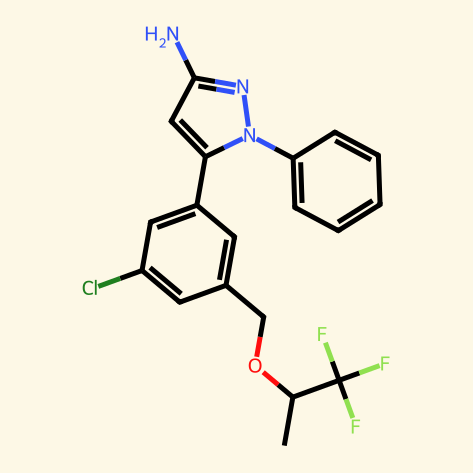 CC(OCc1cc(Cl)cc(-c2cc(N)nn2-c2ccccc2)c1)C(F)(F)F